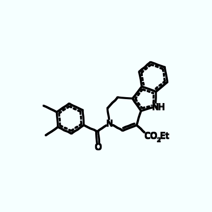 CCOC(=O)C1=CN(C(=O)c2ccc(C)c(C)c2)CCc2c1[nH]c1ccccc21